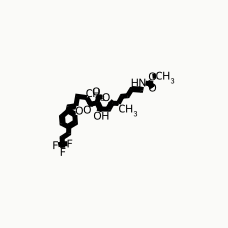 COC(=O)N/C=C/CCC(C)c1cc(O)c(C(=O)C(C)Cc2cc3ccc(CCC(F)(F)F)cc3o2)c(=O)o1